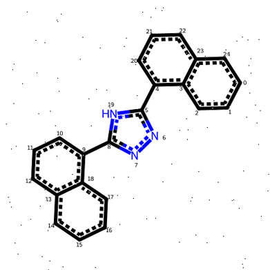 c1ccc2c(-c3nnc(-c4cccc5ccccc45)[nH]3)cccc2c1